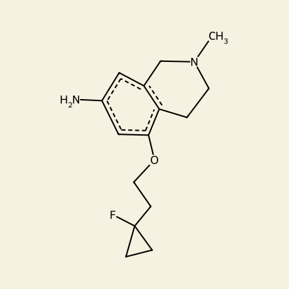 CN1CCc2c(cc(N)cc2OCCC2(F)CC2)C1